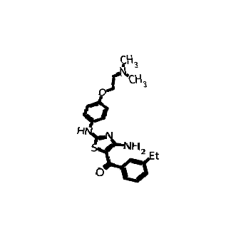 CCc1cccc(C(=O)c2sc(Nc3ccc(OCCN(C)C)cc3)nc2N)c1